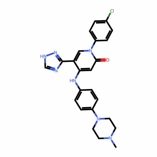 CN1CCN(c2ccc(Nc3cc(=O)n(-c4ccc(Cl)cc4)cc3-c3nc[nH]n3)cc2)CC1